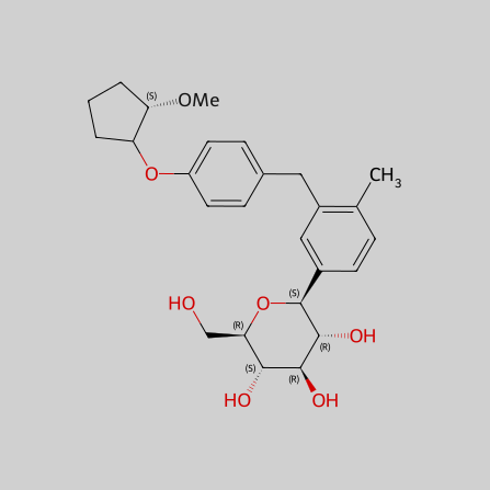 CO[C@H]1CCCC1Oc1ccc(Cc2cc([C@@H]3O[C@H](CO)[C@@H](O)[C@H](O)[C@H]3O)ccc2C)cc1